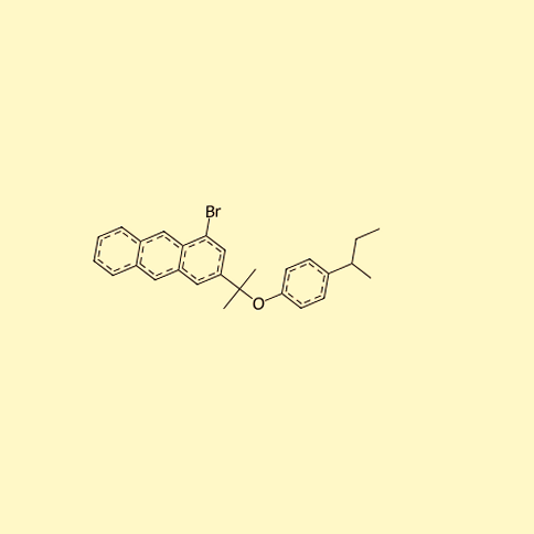 CCC(C)c1ccc(OC(C)(C)c2cc(Br)c3cc4ccccc4cc3c2)cc1